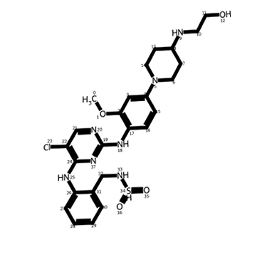 COc1cc(N2CCC(NCCO)CC2)ccc1Nc1ncc(Cl)c(Nc2ccccc2CN[SH](=O)=O)n1